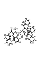 c1ccc([Si](c2ccc(-c3c4ccccc4c(-c4cccc5ccccc45)c4ccccc34)cc2)(c2ccc3ccccc3c2)c2ccc3ccccc3c2)cc1